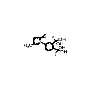 Cc1ccc(=S)n(-c2ccc(C(O)(O)F)c(C(O)(O)F)c2)c1